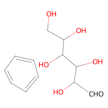 O=CC(O)C(O)C(O)C(O)CO.c1ccccc1